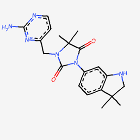 CC1(C)CNc2cc(N3C(=O)N(Cc4ccnc(N)n4)C(C)(C)C3=O)ccc21